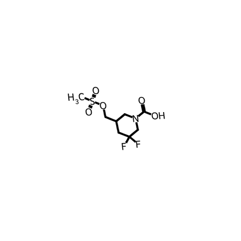 CS(=O)(=O)OCC1CN(C(=O)O)CC(F)(F)C1